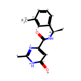 Cc1nc(C(=O)N[C@H](C)c2cccc(C(F)(F)F)c2)cc(=O)[nH]1